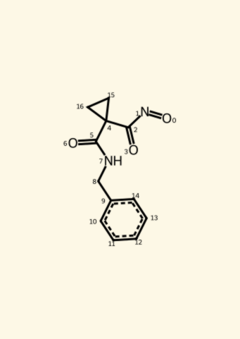 O=NC(=O)C1(C(=O)NCc2ccccc2)CC1